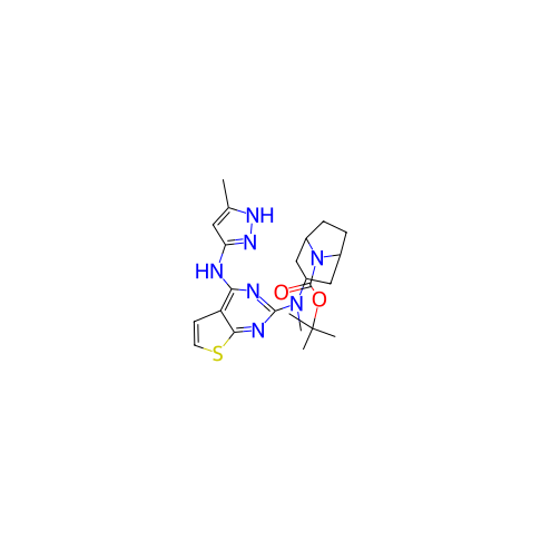 Cc1cc(Nc2nc(N(C)C3CC4CCC(C3)N4C(=O)OC(C)(C)C)nc3sccc23)n[nH]1